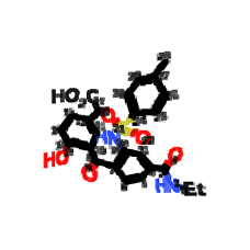 CCNC(=O)c1ccc(C(=O)c2cc(CC(=O)O)ccc2O)c(NS(=O)(=O)c2ccc(C)cc2)c1